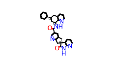 O=C(N[C@H]1C[C@@H](c2ccccc2)Cc2cccnc21)c1cnc2c(c1)C[C@@]1(C2)C(=O)Nc2ncccc21